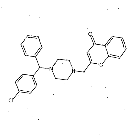 O=c1cc(CN2CCN(C(c3ccccc3)c3ccc(Cl)cc3)CC2)oc2ccccc12